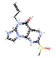 C=CCn1c(=O)c2cnc([S+](C)[O-])nc2n2ccnc12